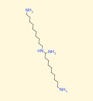 NCCCCCCCCCCNC(N)CCCCCCCCCN